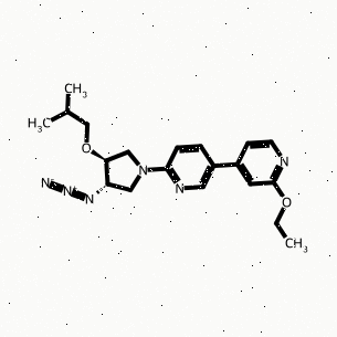 CCOc1cc(-c2ccc(N3C[C@H](N=[N+]=[N-])[C@@H](OCC(C)C)C3)nc2)ccn1